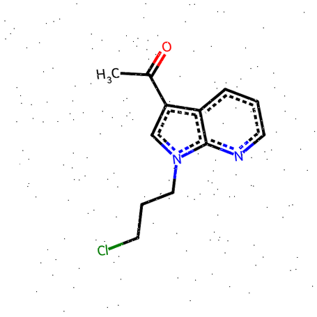 CC(=O)c1cn(CCCCl)c2ncccc12